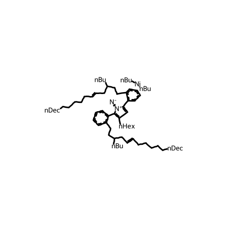 CCCCCCCCCCCCCCCC=CCC(CCCC)CCc1ccccc1C1=CC(CCCCCC)=C(c2ccccc2CCC(CC=CCCCCCCCCCCCCCCC)CCCC)[N+]1=[N-].CCC[CH2][Ni][CH2]CCC